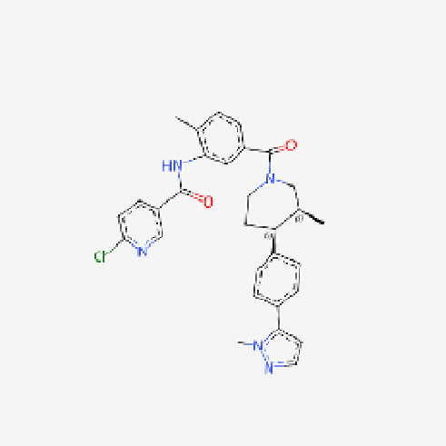 Cc1ccc(C(=O)N2CC[C@H](c3ccc(-c4ccnn4C)cc3)[C@H](C)C2)cc1NC(=O)c1ccc(Cl)nc1